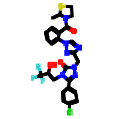 CC1SCCN1C(=O)c1ccccc1-n1cnc(Cn2nc(-c3ccc(Cl)cc3)n(CC(O)C(F)(F)F)c2=O)n1